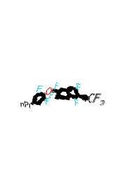 CCCc1cc(F)c(OC(F)(F)c2ccc3c(F)c(C#CC(F)(F)F)c(F)cc3c2)c(F)c1